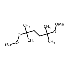 COOC(C)(C)CCC(C)(C)OOC(C)(C)C